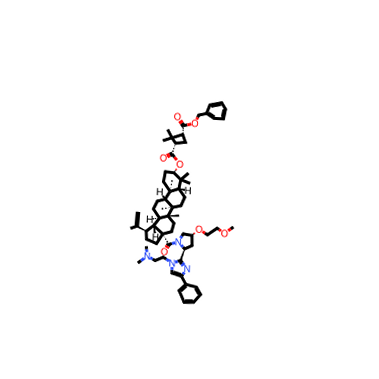 C=C(C)[C@@H]1CC[C@]2(C(=O)N3C[C@H](OCCOC)C[C@H]3c3nc(-c4ccccc4)cn3CCN(C)C)CC[C@]3(C)[C@H](CC[C@@H]4[C@@]5(C)CC[C@H](OC(=O)[C@H]6C[C@@H](C(=O)OCc7ccccc7)C6(C)C)C(C)(C)[C@@H]5CC[C@]43C)[C@@H]12